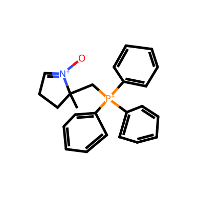 CC1(C[P+](c2ccccc2)(c2ccccc2)c2ccccc2)CCC=[N+]1[O-]